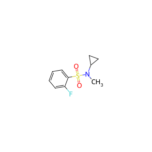 CN(C1CC1)S(=O)(=O)c1ccccc1F